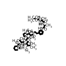 CC[C@H](C)[C@@H]([C@@H](CC(=O)N1CCC[C@H]1[C@H](OC)[C@@H](C)C(=O)N(C)CCc1cccc(NC(=O)[C@H](C)NC(=O)[C@H](C)NC(=O)OC(C)(C)C)c1)OC)N(C)C(=O)[C@@H](NC(=O)[C@@H]1CCCCN1C)C(C)C